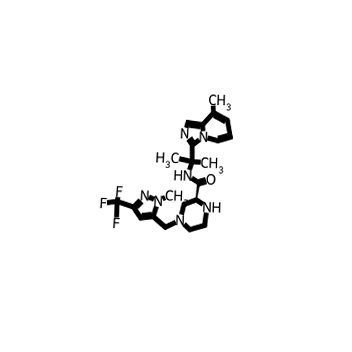 Cc1cccn2c(C(C)(C)NC(=O)[C@@H]3CN(Cc4cc(C(F)(F)F)nn4C)CCN3)ncc12